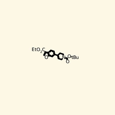 CCOC(=O)c1coc2cc(C3=CCN(C(=O)OC(C)(C)C)CC3)ccc12